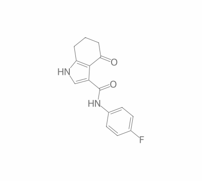 O=C(Nc1ccc(F)cc1)c1c[nH]c2c1C(=O)CCC2